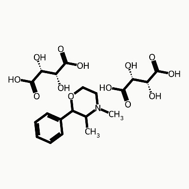 CC1C(c2ccccc2)OCCN1C.O=C(O)[C@H](O)[C@@H](O)C(=O)O.O=C(O)[C@H](O)[C@@H](O)C(=O)O